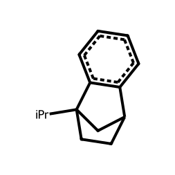 CC(C)C12CCC(C1)c1ccccc12